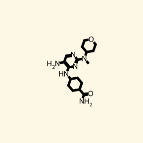 CN(c1ncc(N)c(NC2CCC(C(N)=O)CC2)n1)C1CCOCC1